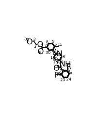 COCCOC(=O)c1ccc(C)c(-c2cnc(NC(=O)c3c(F)cccc3F)cn2)c1